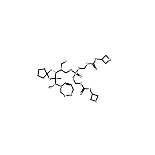 C[C@@]1([C@@H](O)N2C=CCOOC2)OC2(CCCC2)O[C@@H]1[C@@H](CF)COP(=O)(OCOC(=O)OC1COC1)OCOC(=O)OC1COC1